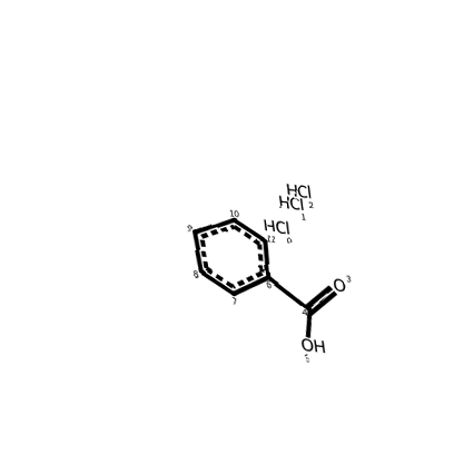 Cl.Cl.Cl.O=C(O)c1ccccc1